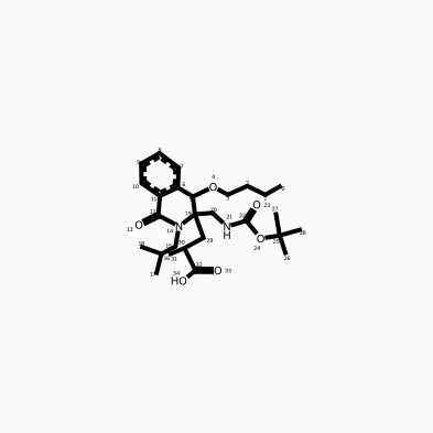 CCCCOC1c2ccccc2C(=O)N(CC(C)C)C1(CNC(=O)OC(C)(C)C)CC(C)C(=O)O